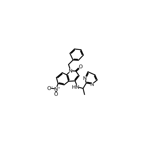 CC(Nc1cc(=O)n(Cc2ccccc2)c2ccc([N+](=O)[O-])cc12)c1ncccn1